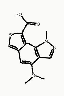 CN(C)c1cc2csc(C(=O)O)c2c2c1cnn2C